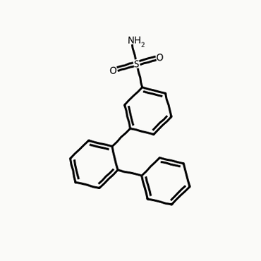 NS(=O)(=O)c1cccc(-c2ccccc2-c2ccccc2)c1